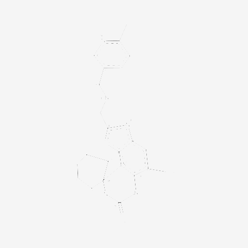 Cc1ccc(CNCc2nc3cc(Cl)c4c(c3o2)C2(CCCCC2)NC(=O)N4)cn1